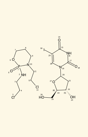 O=P1(NCCCl)OCCCN1CCCl.O=c1[nH]c(=O)n(C2C[C@H](O)[C@@H](CO)O2)cc1I